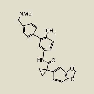 CNCc1ccc(-c2cc(NC(=O)C3(c4ccc5c(c4)OCO5)CC3)ccc2C)cc1